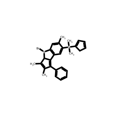 CC1=C(C)C2C(=C1c1ccccc1)c1cc([Si](C)(C)C3=CC=CC3)c(C)cc1N2Br